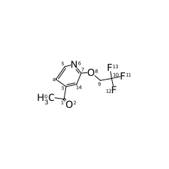 CC(=O)c1ccnc(OCC(F)(F)F)c1